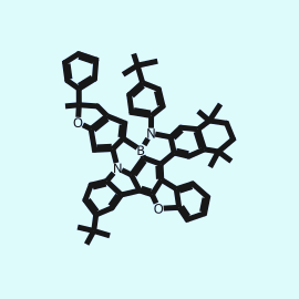 CC(C)(C)c1ccc(N2B3c4cc5c(cc4-n4c6ccc(C(C)(C)C)cc6c6c7oc8ccccc8c7c(c3c64)-c3cc4c(cc32)C(C)(C)CCC4(C)C)OC(C)(c2ccccc2)C5)cc1